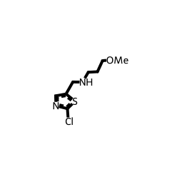 COCCCNCc1cnc(Cl)s1